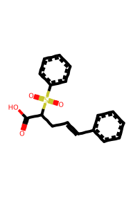 O=C(O)C(CC=Cc1ccccc1)S(=O)(=O)c1ccccc1